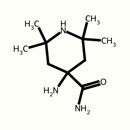 CC1(C)CC(N)(C(N)=O)CC(C)(C)N1